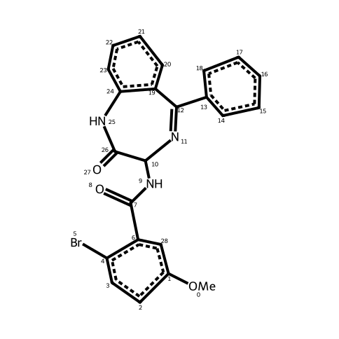 COc1ccc(Br)c(C(=O)NC2N=C(c3ccccc3)c3ccccc3NC2=O)c1